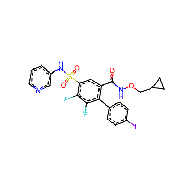 O=C(NOCC1CC1)c1cc(S(=O)(=O)Nc2cccnc2)c(F)c(F)c1-c1ccc(I)cc1